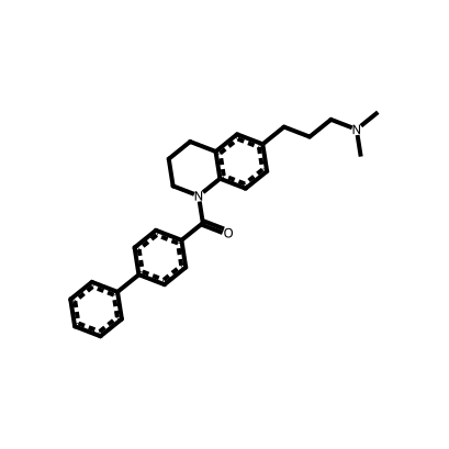 CN(C)CCCc1ccc2c(c1)CCCN2C(=O)c1ccc(-c2ccccc2)cc1